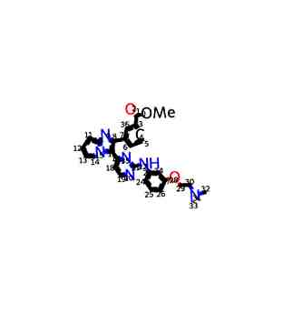 COC(=O)c1cccc(-c2nc3ccccn3c2-c2ccnc(Nc3cccc(OCCN(C)C)c3)n2)c1